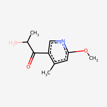 BC(C)C(=O)c1cnc(OC)cc1C